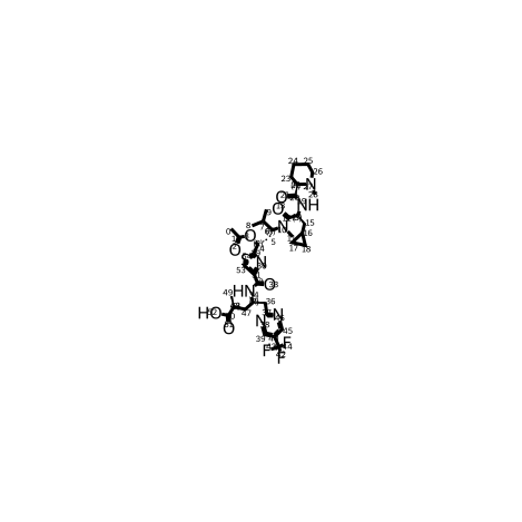 CC(=O)O[C@H](C[C@H](C(C)C)N(C)C(=O)[C@H](CC1CC1)NC(=O)[C@H]1CCCCN1C)c1nc(C(=O)N[C@@H](Cc2ncc(C(F)(F)F)cn2)C[C@H](C)C(=O)O)cs1